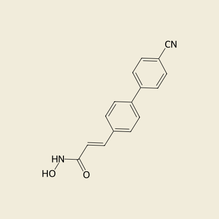 N#Cc1ccc(-c2ccc(C=CC(=O)NO)cc2)cc1